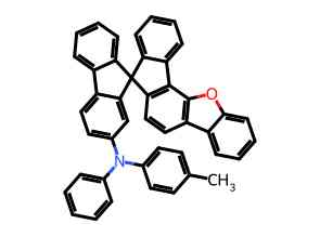 Cc1ccc(N(c2ccccc2)c2ccc3c(c2)C2(c4ccccc4-3)c3ccccc3-c3c2ccc2c3oc3ccccc32)cc1